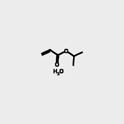 C=CC(=O)OC(C)C.O